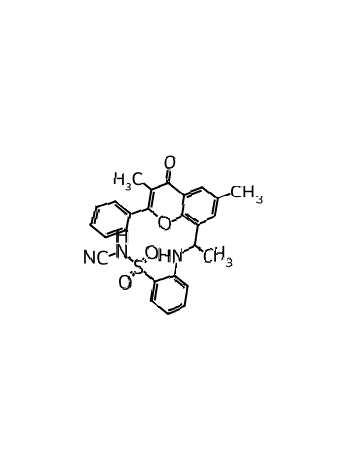 Cc1cc(C(C)Nc2ccccc2S(=O)(=O)NC#N)c2oc(-c3ccccc3)c(C)c(=O)c2c1